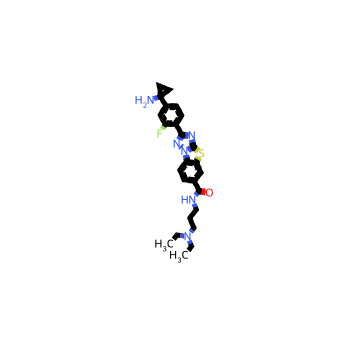 CCN(CC)CCCNC(=O)c1ccc2c(c1)sc1nc(-c3ccc(C4(N)CC4)cc3F)nn12